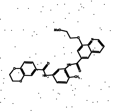 COCCOc1cc(C(=O)Nc2cc(NC(=O)c3ccc4c(c3)OCCO4)ccc2C)cc2cccnc12